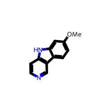 COc1ccc2c(c1)[nH]c1ccncc12